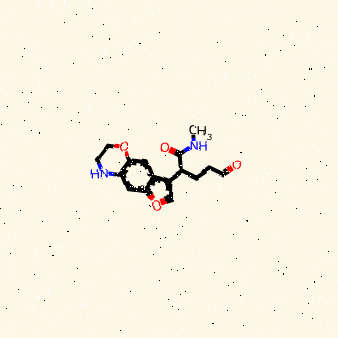 CNC(=O)C(CCC=O)c1coc2cc3c(cc12)OCCN3